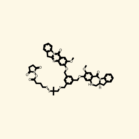 COc1cc2c(cc1OCc1cc(COc3cc4nc5n(c(=O)c4cc3OC)-c3ccccc3C5)cc(CSCC(C)(C)SSCCCC(=O)ON3C(=O)CCC3=O)c1)NC[C@@H]1Cc3ccccc3N1C2=O